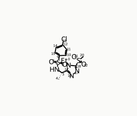 CCn1c([C@H](C)NS(=O)(=O)c2ccc(Cl)cc2)nnc1S(C)(=O)=O